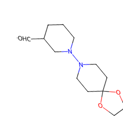 O=[C]C1CCCN(N2CCC3(CC2)OCCO3)C1